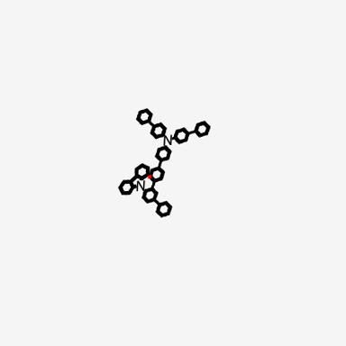 c1ccc(-c2ccc(N(c3ccc(-c4ccccc4)cc3)c3ccc(-c4ccc(-c5cc(-c6ccccc6)ccc5-n5c6ccccc6c6ccccc65)cc4)cc3)cc2)cc1